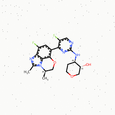 Cc1nc2c(F)cc(-c3nc(N[C@@H]4CCOC[C@H]4O)ncc3F)c3c2n1[C@H](C)CO3